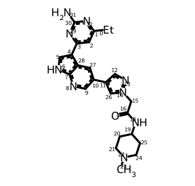 CCc1cc(-c2c[nH]c3ncc(-c4cnn(CC(=O)NC5CCN(C)CC5)c4)cc23)nc(N)n1